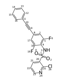 O=S(=O)(Nc1c(F)cc(C#Cc2ccccc2)cc1F)c1cccnc1Cl